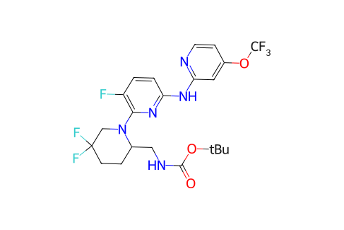 CC(C)(C)OC(=O)NCC1CCC(F)(F)CN1c1nc(Nc2cc(OC(F)(F)F)ccn2)ccc1F